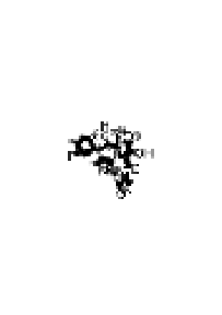 C[C@@H](c1nc(C(=O)Nc2cnoc2)c(O)c(=O)n1C)[C@@H](c1cnn(C)c1)c1cc(F)ccc1Cl